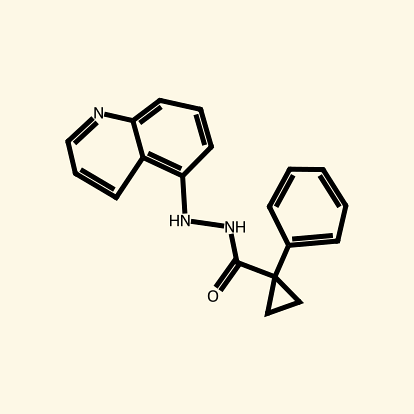 O=C(NNc1cccc2ncccc12)C1(c2ccccc2)CC1